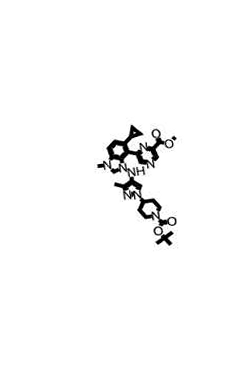 COC(=O)c1cncc(-c2c(C3CC3)ccc3c2N(Nc2cn(C4CCN(C(=O)OC(C)(C)C)CC4)nc2C)CN3C)n1